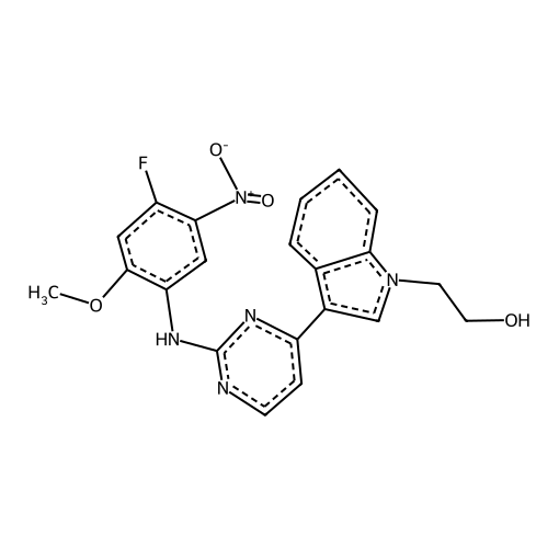 COc1cc(F)c([N+](=O)[O-])cc1Nc1nccc(-c2cn(CCO)c3ccccc23)n1